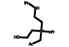 CCC[N+](CCO)(CCNC(C)C)CC(C)=O